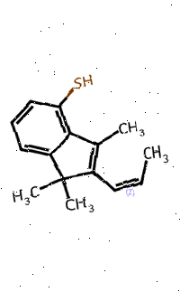 C/C=C\C1=C(C)c2c(S)cccc2C1(C)C